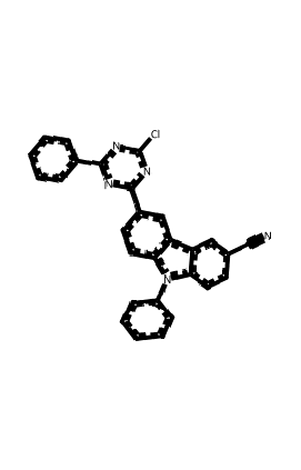 N#Cc1ccc2c(c1)c1cc(-c3nc(Cl)nc(-c4ccccc4)n3)ccc1n2-c1ccccc1